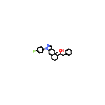 CC12Cc3cnn(-c4ccc(F)cc4)c3C=C1CCC[C@@H]2[C@@H](O)Cc1ccccc1